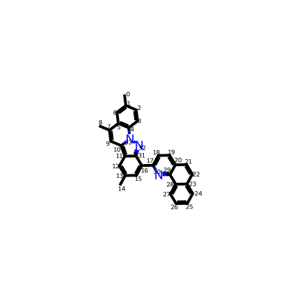 Cc1ccc2c(c1)c(C)cc1c3cc(C)cc(-c4ccc5ccc6ccccc6c5n4)c3nn21